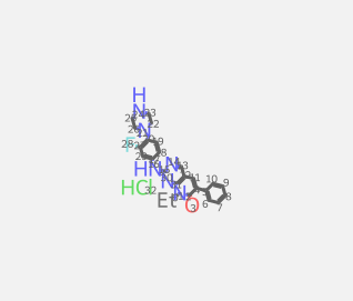 CCn1c(=O)c(-c2ccccc2)cc2cnc(Nc3ccc(N4CCNCC4)c(F)c3)nc21.Cl